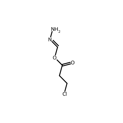 NN=COC(=O)CCCl